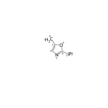 [CH2]c1cnc(C(C)C)o1